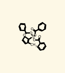 CC1=[C]([Ti]([O]C(=O)c2ccccc2)([O]C(=O)c2ccccc2)[O]C(=O)c2ccccc2)CC=C1